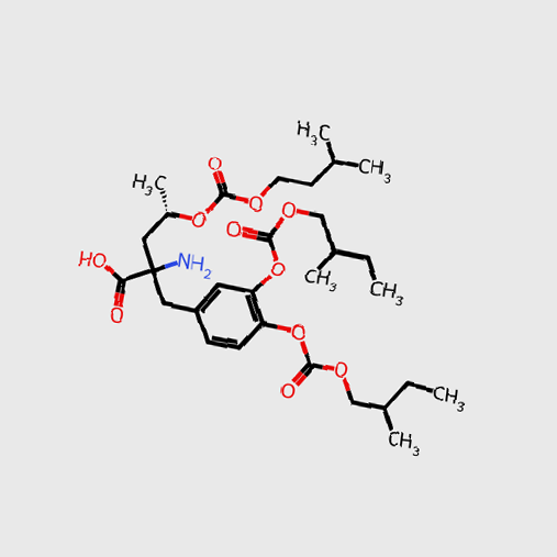 CCC(C)COC(=O)Oc1ccc(CC(N)(C[C@H](C)OC(=O)OCCC(C)C)C(=O)O)cc1OC(=O)OCC(C)CC